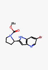 CC(C)(C)OC(=O)N1CCC[C@@H]1c1cc2ncc(Br)cc2[nH]1